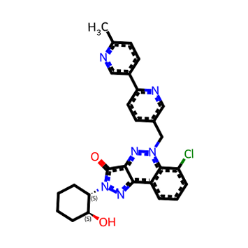 Cc1ccc(-c2ccc(Cn3nc4c(=O)n([C@H]5CCCC[C@@H]5O)nc-4c4cccc(Cl)c43)cn2)cn1